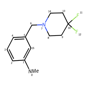 CNc1cccc(CN2CCC(F)(F)CC2)c1